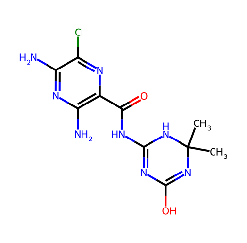 CC1(C)N=C(O)N=C(NC(=O)c2nc(Cl)c(N)nc2N)N1